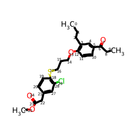 CCCc1cc(C(=O)CC)ccc1OCCCSc1ccc(CC(=O)OC)cc1Cl